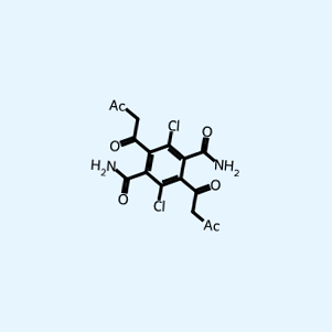 CC(=O)CC(=O)c1c(Cl)c(C(N)=O)c(C(=O)CC(C)=O)c(Cl)c1C(N)=O